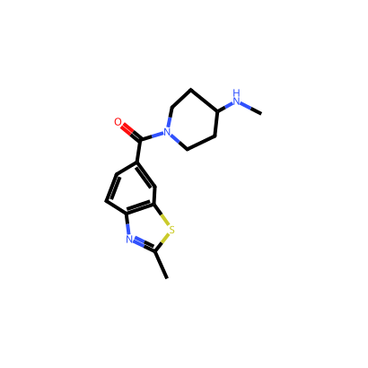 CNC1CCN(C(=O)c2ccc3nc(C)sc3c2)CC1